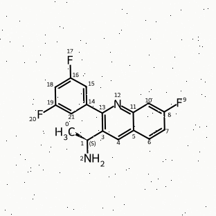 C[C@H](N)c1cc2ccc(F)cc2nc1-c1cc(F)cc(F)c1